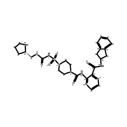 O=C(NS(=O)(=O)N1CCN(C(=O)Nc2nccnc2C(=O)NC2Cc3ccccc3C2)CC1)OC[C@@H]1CCCN1